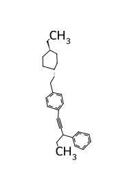 CCC(C#Cc1ccc(CC[C@H]2CC[C@H](CC)CC2)cc1)c1ccccc1